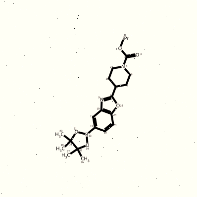 CC(C)OC(=O)N1CCC(c2nc3cc(B4OC(C)(C)C(C)(C)O4)ccc3o2)CC1